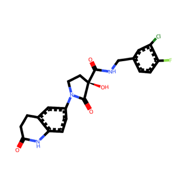 O=C1CCc2cc(N3CC[C@](O)(C(=O)NCc4ccc(F)c(Cl)c4)C3=O)ccc2N1